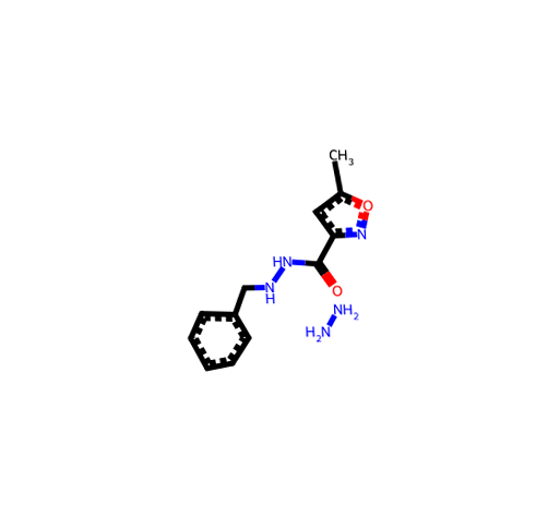 Cc1cc(C(=O)NNCc2ccccc2)no1.NN